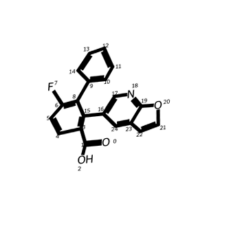 O=C(O)c1ccc(F)c(-c2ccccc2)c1-c1cnc2occc2c1